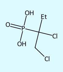 CCC(Cl)(CCl)P(=O)(O)O